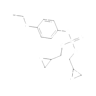 CCOc1ccc(OP(=O)(OCC2CO2)OCC2CO2)cc1